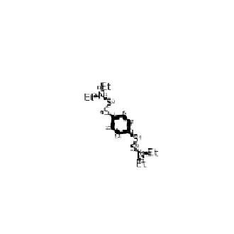 CCN(CC)SSc1ccc(SSN(CC)CC)cc1